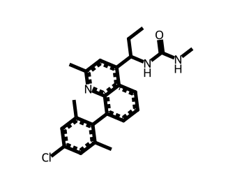 CCC(NC(=O)NC)c1cc(C)nc2c(-c3c(C)cc(Cl)cc3C)cccc12